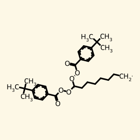 [CH2]CCCCCC[C](OOC(=O)c1ccc(C(C)(C)C)cc1)OOC(=O)c1ccc(C(C)(C)C)cc1